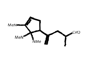 C=C(CC(C)C=O)C1CC=C(NC)C1(NC)NC